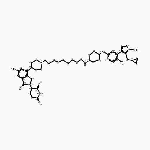 Cn1ncc(-c2nc(N[C@H]3CC[C@H](NCCCCCCCCCN4CCC(c5cc(F)cc6c5CN(C5CCC(=O)NC5=O)C6=O)CC4)CC3)ncc2Cl)c1CC1CC1